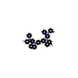 CC1C=C(n2c3ccccc3c3cc(N(C4=C5C=CC=CC5C(C)C=C4)c4ccc(-c5ccc(N(c6ccc7c(c6)c6c(n7-c7ccccc7)C[C@@H](C)C=C6)c6cccc7ccccc67)cc5)cc4)ccc32)C=CC1